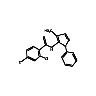 O=C(Nc1c(C(=O)O)cnn1-c1ccccc1)c1ccc(Cl)cc1Cl